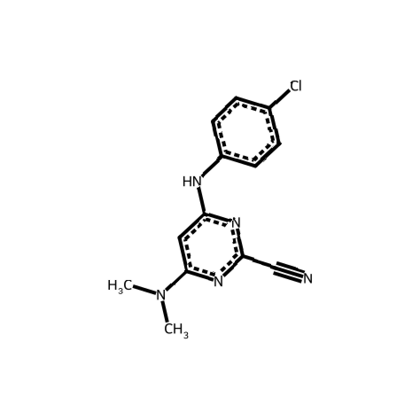 CN(C)c1cc(Nc2ccc(Cl)cc2)nc(C#N)n1